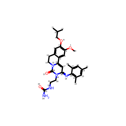 COc1cc2c(cc1OCC(C)C)CCn1c-2c/c(=N\c2c(C)cc(C)cc2C)n(CCNC(N)=O)c1=O